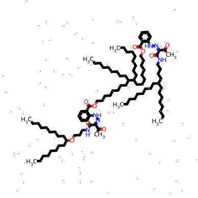 CCCCCCCCCC(CCCCCCCC)CCCCNC(=O)/C(=N\Nc1ccccc1C(=O)OCCCCCCCCC(CCCCCCCCC)C(CCCCCCCCC)CCCCCCCCOC(=O)c1ccccc1N/N=C(/C(C)=O)C(=O)NCCCOC(CCCCCCCC)CCCCCCCCC)C(C)=O